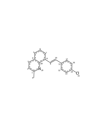 Cc1ccc2cccc(/C=C/c3ccc(Cl)cc3)c2n1